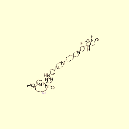 C[C@@]1(O)CC/C=C\Cn2c(=O)c3cnc(Nc4ccc(N5CCN(C6CCC7(CC6)CCN(c6ccc(C(=O)NC8CCC(=O)NC8=O)c(F)c6)CC7)CC5)cc4)nc3n2-c2cccc1n2